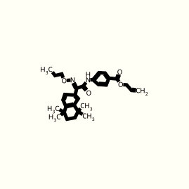 C=CCOC(=O)c1ccc(NC(=O)/C(=N/OCCC)c2ccc3c(c2)C(C)(C)CCC3(C)C)cc1